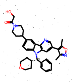 Cc1noc(C)c1-c1cnc2c3cc(C4CCN(C(=O)CO)CC4)ccc3n([C@H](c3ccccc3)C3CCOCC3)c2c1